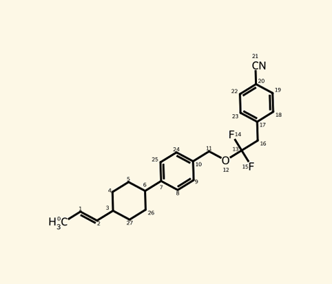 CC=CC1CCC(c2ccc(COC(F)(F)Cc3ccc(C#N)cc3)cc2)CC1